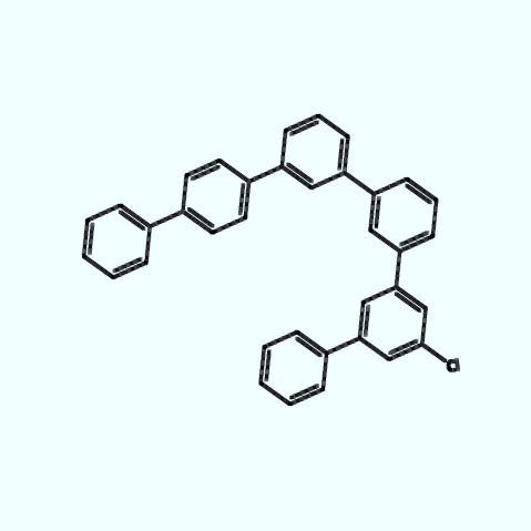 Clc1cc(-c2ccccc2)cc(-c2cccc(-c3cccc(-c4ccc(-c5ccccc5)cc4)c3)c2)c1